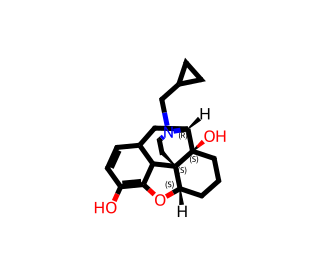 OC1=C2O[C@H]3CCC[C@@]4(O)[C@H]5CC(C=C1)C2[C@@]34CCN5CC1CC1